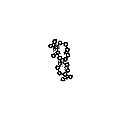 CC1(C)c2ccccc2-c2ccc(-c3cccc(-c4cccc(-c5nc(-c6ccccc6-c6ccccc6)nc(-c6ccc(-c7ccc(-c8nc(-c9cccc(-c%10cccc(-c%11ccc%12c(c%11)C(C)(c%11ccccc%11)c%11ccccc%11-%12)c%10)c9)nc(-c9cccc%10c9sc9ccccc9%10)n8)c(-c8ccccc8)c7)c7c6sc6ccccc67)n5)c4)c3)cc21